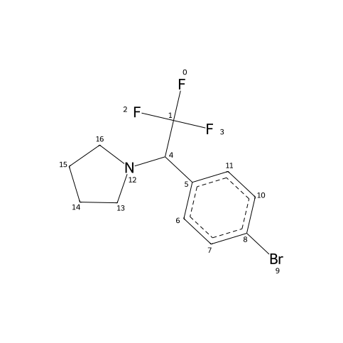 FC(F)(F)C(c1ccc(Br)cc1)N1CCCC1